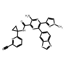 Cn1ccc(-c2nc(N)c(C(=O)NC3(c4cccc(C#N)n4)CC3)nc2-c2ccc3ncsc3c2)n1